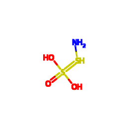 N[SH]=S(=O)(O)O